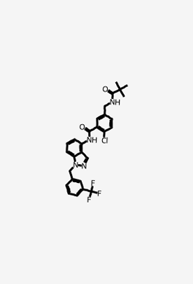 CC(C)(C)C(=O)NCc1ccc(Cl)c(C(=O)Nc2cccc3c2cnn3Cc2cccc(C(F)(F)F)c2)c1